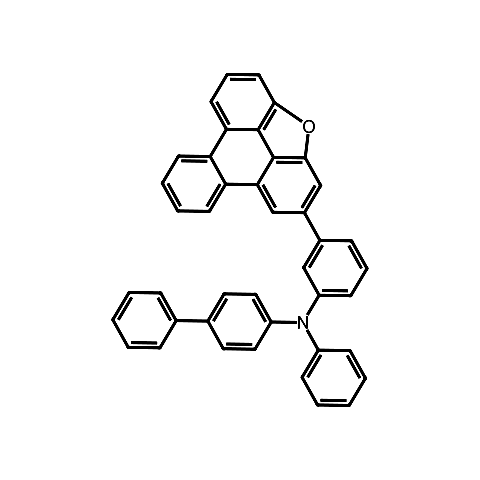 c1ccc(-c2ccc(N(c3ccccc3)c3cccc(-c4cc5oc6cccc7c8ccccc8c(c4)c5c67)c3)cc2)cc1